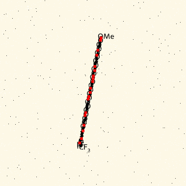 COCCOCCOCCOCCOCCOCCOCCOCCOCCOCCOCCOCCOCCOCCOCCOCCOCCOCCOCCOCCOCCOCCOCCCCCCCCCCOCC(F)(F)C(F)(F)C(F)(F)F